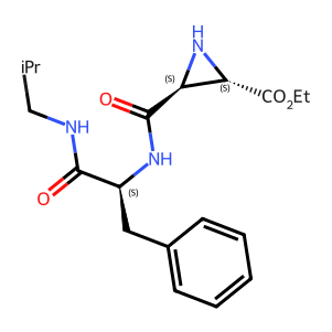 CCOC(=O)[C@H]1N[C@@H]1C(=O)N[C@@H](Cc1ccccc1)C(=O)NCC(C)C